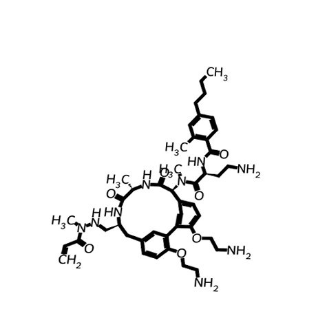 C=CC(=O)N(C)NC[C@@H]1Cc2ccc(OCCN)c(c2)-c2cc(ccc2OCCN)[C@H](N(C)C(=O)[C@H](CCN)NC(=O)c2ccc(CCCC)cc2C)C(=O)N[C@@H](C)C(=O)N1